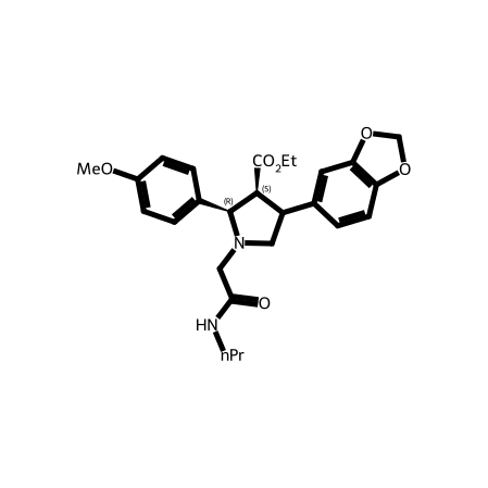 CCCNC(=O)CN1CC(c2ccc3c(c2)OCO3)[C@H](C(=O)OCC)[C@@H]1c1ccc(OC)cc1